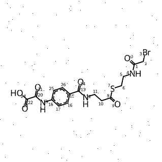 O=C(CBr)NCCSC(=O)CCNC(=O)c1ccc(NC(=O)C(=O)O)cc1